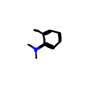 Cc1ccccc1N(C)C